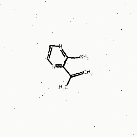 C=C(C)c1nccnc1N